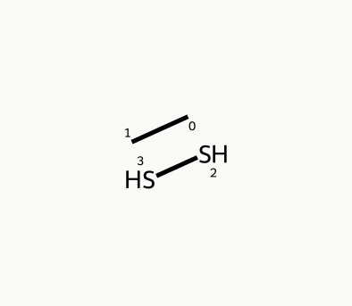 CC.SS